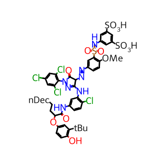 CCCCCCCCCCCCC(Oc1ccc(O)c(C(C)(C)C)c1)C(=O)Nc1ccc(Cl)c(NC2=NN(c3c(Cl)cc(Cl)cc3Cl)C(=O)C2/N=N/c2ccc(OC)c(S(=O)(=O)Nc3cc(S(=O)(=O)O)cc(S(=O)(=O)O)c3)c2)c1